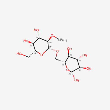 CCCCCO[C@H]1[C@H](OC[C@H]2O[C@@H](O)[C@H](O)[C@@H](O)[C@@H]2O)O[C@H](CO)[C@@H](O)[C@@H]1O